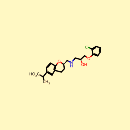 CC(C(=O)O)c1ccc2c(c1)CC[C@H](CNC[C@H](O)COc1ccccc1Cl)O2